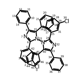 Clc1cccc(-c2nc(-c3ccccc3)c(-c3ccccc3)n2-n2c(-c3cccc(Cl)c3)nc(-c3ccccc3)c2-c2ccccc2)c1